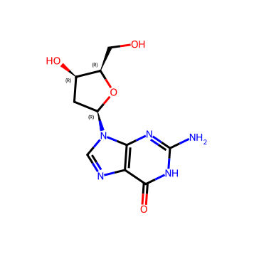 Nc1nc2c(ncn2[C@H]2C[C@@H](O)[C@@H](CO)O2)c(=O)[nH]1